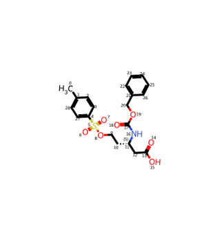 Cc1ccc(S(=O)(=O)OCC[C@@H](CC(=O)O)NC(=O)OCc2ccccc2)cc1